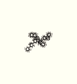 c1ccc(-c2ccc(-c3cc(-c4nc(-c5ccc6c(c5)oc5ccccc56)c5ccccc5n4)c4oc5ccc6ccccc6c5c4c3)cc2)cc1